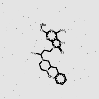 CCCCOc1nc(N)c2[nH]c(=O)n(CCC(CCCC)N3CCN(C)C(Cc4ccccc4)C3)c2n1